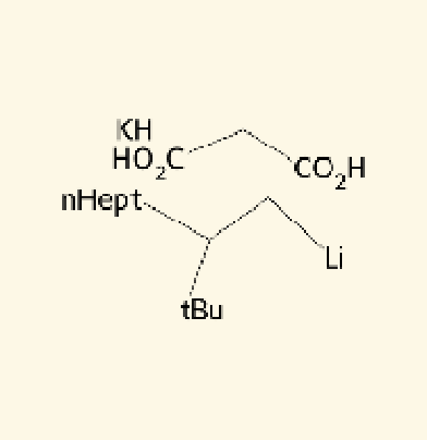 O=C(O)CC(=O)O.[KH].[Li][CH2]C(CCCCCCC)C(C)(C)C